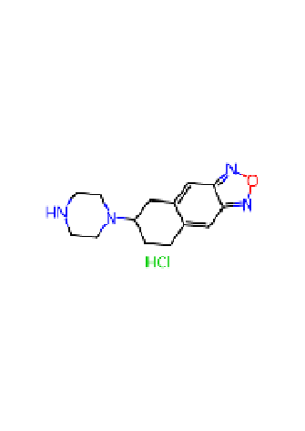 Cl.c1c2c(cc3nonc13)CC(N1CCNCC1)CC2